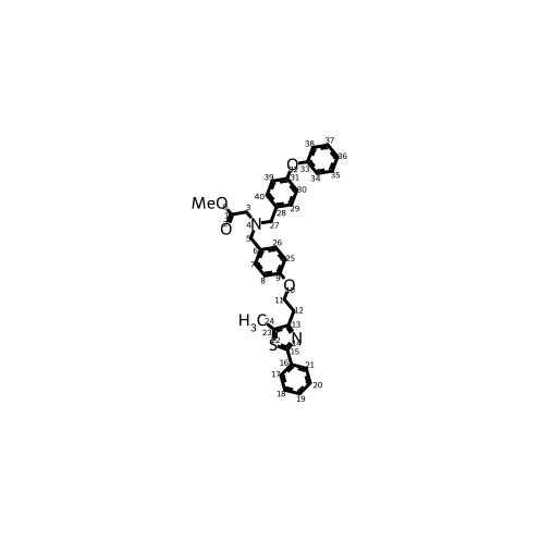 COC(=O)CN(Cc1ccc(OCCc2nc(-c3ccccc3)sc2C)cc1)Cc1ccc(Oc2ccccc2)cc1